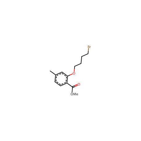 COC(=O)c1ccc(C)cc1OCCCCBr